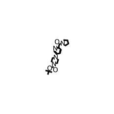 CC(C)(C)OC(=O)N1CCN(c2ccc(C(=O)N3CCCC3)nc2)CC1